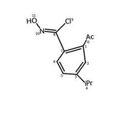 CC(=O)c1cc(C(C)C)ccc1C(Cl)=NO